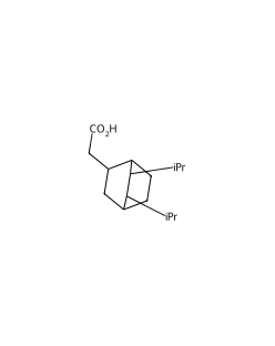 CC(C)C1C2CCC(C(CC(=O)O)C2)C1C(C)C